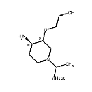 CCCCCCCC(C)N1CC[C@@H](N)[C@@H](OCCO)C1